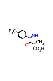 CC(C(=O)O)C(=O)C(=N)c1ccc(C(F)(F)F)cc1